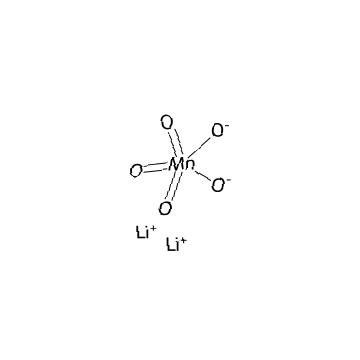 [Li+].[Li+].[O]=[Mn](=[O])(=[O])([O-])[O-]